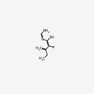 C=C(CC)/C(F)=C(S)\N=C/N